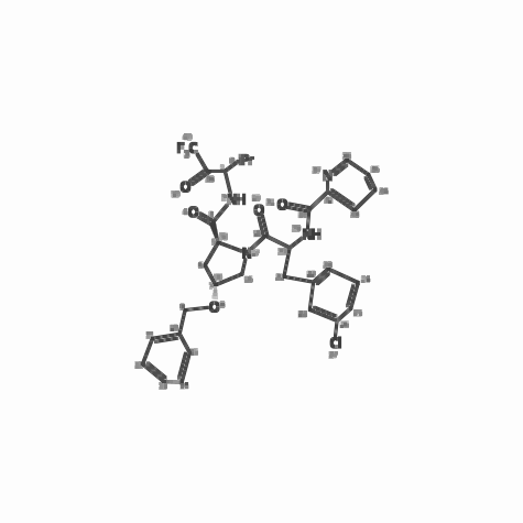 CC(C)C(NC(=O)[C@@H]1C[C@@H](OCc2ccccc2)CN1C(=O)C(Cc1cccc(Cl)c1)NC(=O)c1ccccn1)C(=O)C(F)(F)F